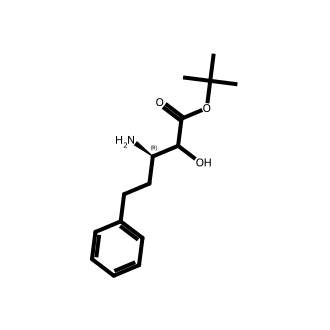 CC(C)(C)OC(=O)C(O)[C@H](N)CCc1ccccc1